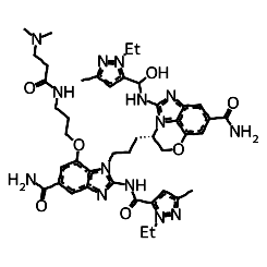 CCn1nc(C)cc1C(=O)Nc1nc2cc(C(N)=O)cc(OCCCNC(=O)CCN(C)C)c2n1CCC[C@H]1COc2cc(C(N)=O)cc3nc(NC(O)c4cc(C)nn4CC)n1c23